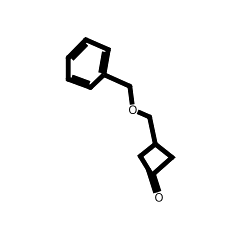 O=C1CC(COCc2ccccc2)C1